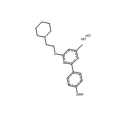 COc1ccc(-c2nc(C)cc(OCCN3CCCCC3)n2)cc1.Cl.Cl